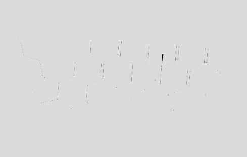 CCCN1CCC2CN(C)c3c(cc(O)c4c3C[C@@H]3C[C@@H]5[C@@H](N(C)C)C(O)=C(C(N)=O)C(=O)[C@@]5(O)C(O)=C3C4=O)C21